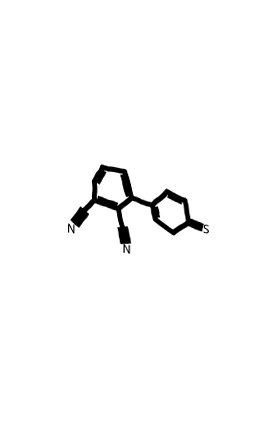 N#Cc1cccc(C2=CCC(=S)C=C2)c1C#N